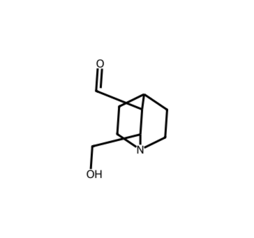 O=CC1C2CCN(CC2)C1CO